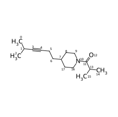 CC(C)C#CCCC1CCN(C(=O)C(C)C)CC1